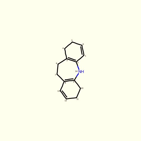 C1=CC2=C(CC1)CCC1=C(CCC=C1)N2